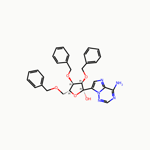 Nc1ncnn2c([C@@]3(O)O[C@H](COCc4ccccc4)[C@@H](OCc4ccccc4)[C@H]3OCc3ccccc3)cnc12